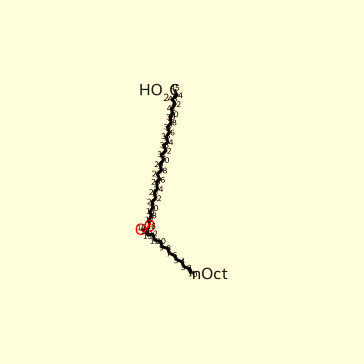 CCCCCCCCC=CCCCCCCCCCCCC(=O)OCCCCCCCCCCCCCCCCCCCCCCCCCCCCC(=O)O